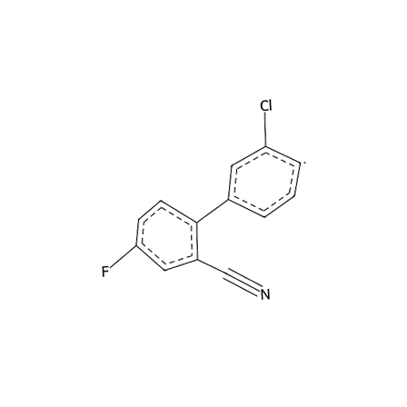 N#Cc1cc(F)ccc1-c1cc[c]c(Cl)c1